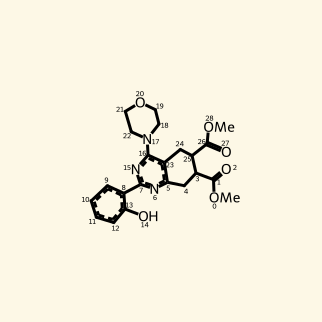 COC(=O)C1Cc2nc(-c3ccccc3O)nc(N3CCOCC3)c2CC1C(=O)OC